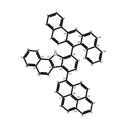 c1ccc2c(c1)ccc1c(-c3ccc(-c4ccc5ccc6cccc7ccc4c5c67)c4c3oc3c5ccccc5ccc34)c3c(ccc4ccccc43)cc12